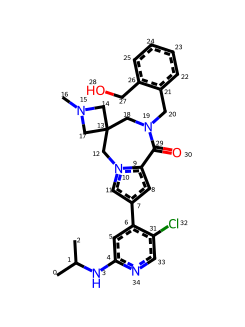 CC(C)Nc1cc(-c2cc3n(c2)CC2(CN(C)C2)CN(Cc2ccccc2CO)C3=O)c(Cl)cn1